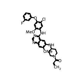 C=CC(=O)N1CCC(Nc2cc3c(Nc4cc(Cl)c(Oc5cccc(F)c5)cc4OC)ncnc3cc2OC)CC1